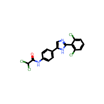 O=C(Nc1ccc(-c2cnc(-c3c(Cl)cccc3Cl)[nH]2)cc1)C(Cl)Cl